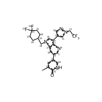 Cc1cc(-c2cnc3c(-c4cnn(CC(F)(F)F)c4)cn(CC4CCC(F)(F)CC4)c3c2)c[nH]c1=O